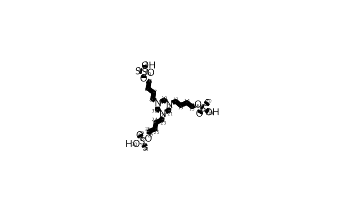 O=S(O)(=S)OCCCCN1CN(CCCCOS(=O)(O)=S)CN(CCCCOS(=O)(O)=S)C1